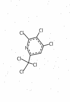 Clc1cc(C(Cl)(Cl)Cl)nc(Cl)c1Cl